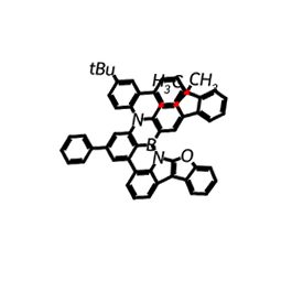 CC(C)(C)c1ccc(N2c3cc4c(cc3B3c5c(cc(-c6ccccc6)cc52)-c2cccc5c6c7ccccc7oc6n3c25)-c2ccccc2C4(C)C)c(-c2ccccc2)c1